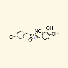 O=[N+]([O-])/C(=C\c1ccc(O)c(O)c1)[S+]([O-])Cc1ccc(Cl)cc1